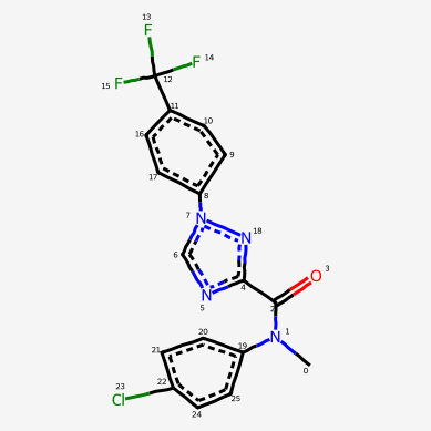 CN(C(=O)c1ncn(-c2ccc(C(F)(F)F)cc2)n1)c1ccc(Cl)cc1